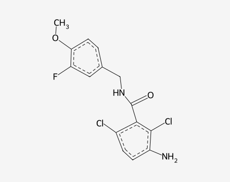 COc1ccc(CNC(=O)c2c(Cl)ccc(N)c2Cl)cc1F